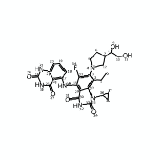 CCc1c(N2CCC(C(O)CO)C2)c(F)c(Nc2cccc3[nH]c(=O)[nH]c(=O)c23)c2c(=O)[nH]c(=O)n(C3CC3)c12